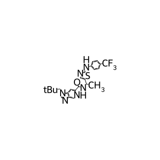 CC(NC(=O)c1cc2c(cn1)ncn2CC(C)(C)C)c1cnc(Nc2ccc(C(F)(F)F)cc2)s1